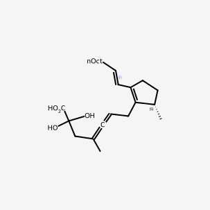 CCCCCCCC/C=C/C1=C(CC=C=C(C)CC(O)(O)C(=O)O)[C@@H](C)CC1